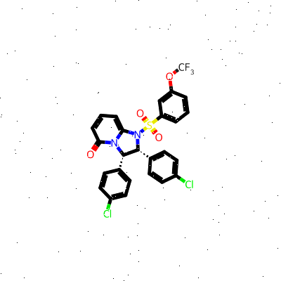 O=c1cccc2n1[C@@H](c1ccc(Cl)cc1)[C@@H](c1ccc(Cl)cc1)N2S(=O)(=O)c1cccc(OC(F)(F)F)c1